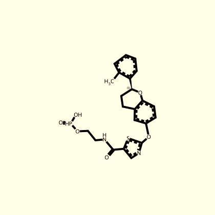 Cc1ccccc1[C@@H]1CCc2cc(Oc3ncc(C(=O)NCCO[PH](=O)O)s3)ccc2O1